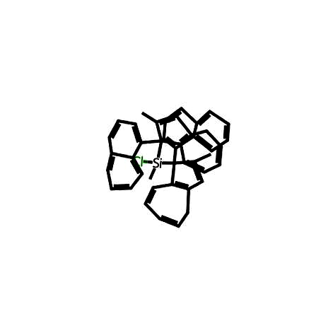 CC1=CC2=C(C=CC=CC2)C1(c1cccc2ccccc12)[Si](C)(Cl)C1(c2cccc3ccccc23)C(C)=CC2=C1C=CC=CC2